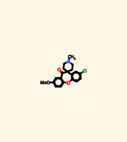 COc1ccc2c(c1)C(=O)C1(CCN(C)CC1)c1cc(Cl)ccc1O2